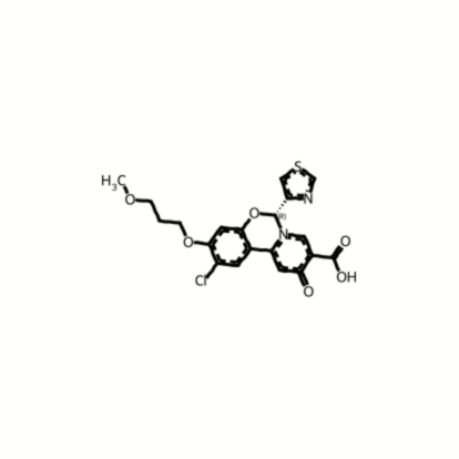 COCCCOc1cc2c(cc1Cl)-c1cc(=O)c(C(=O)O)cn1[C@@H](c1cscn1)O2